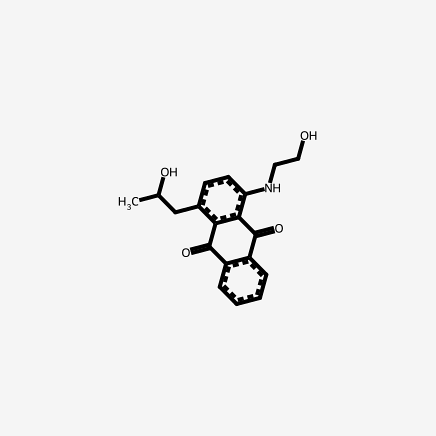 CC(O)Cc1ccc(NCCO)c2c1C(=O)c1ccccc1C2=O